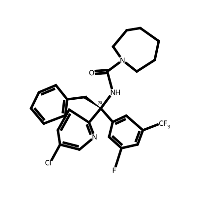 O=C(N[C@](Cc1ccccc1)(c1cc(F)cc(C(F)(F)F)c1)c1ccc(Cl)cn1)N1CCCCCC1